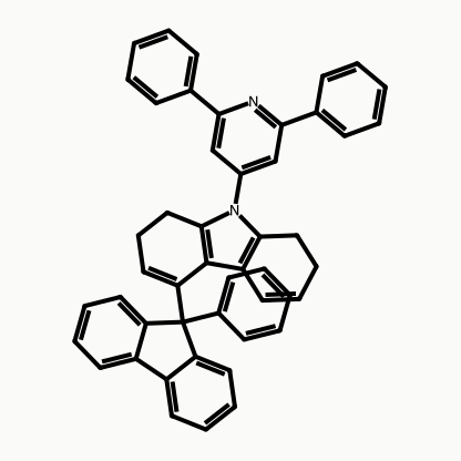 C1=Cc2c3c(n(-c4cc(-c5ccccc5)nc(-c5ccccc5)c4)c2CC1)CCC=C3C1(c2ccccc2)c2ccccc2-c2ccccc21